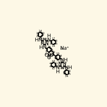 O=S(=O)([O-])c1cc(Nc2nc(Nc3ccccc3)nc(Nc3ccccc3)n2)ccc1/C=C/c1ccc(Nc2nc(Nc3ccccc3)nc(Nc3ccccc3)n2)cc1.[Na+]